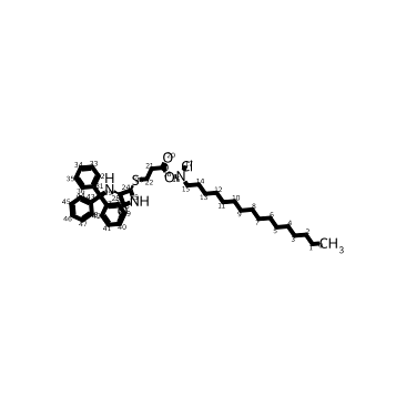 CCCCCCCCCCCCCCCCN(Cl)OC(=O)CCS[C@H]1NC(=O)[C@H]1NC(c1ccccc1)(c1ccccc1)c1ccccc1